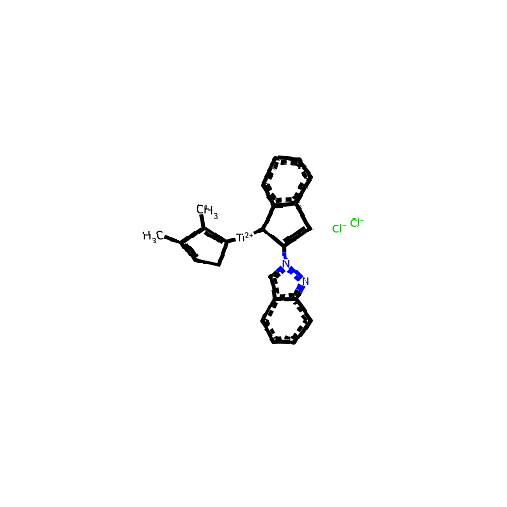 CC1=CC[C]([Ti+2][CH]2C(n3cc4ccccc4n3)=Cc3ccccc32)=C1C.[Cl-].[Cl-]